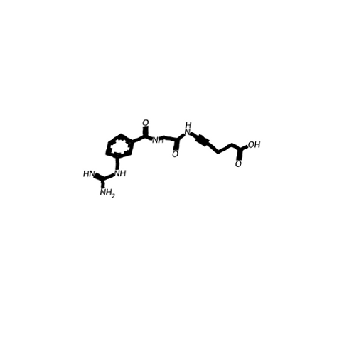 N=C(N)Nc1cccc(C(=O)NCC(=O)NC#CCCC(=O)O)c1